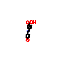 COc1ccc(/C=C/c2ccc(C(=O)O)cc2)cc1